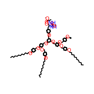 C#COc1ccc(COc2cc(COc3cc(COc4ccc(CC(NC(=O)OC)C(=O)NC(C)C(=O)OC)cc4)cc(OCc4ccc(OCc5ccc(OCCCCCCCCCCCC)cc5)c(OCc5ccc(OCCCCCCCCCCCC)cc5)c4)c3)ccc2OCc2ccc(OCCCCCCCCCCCC)cc2)cc1